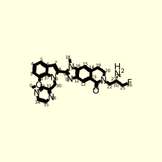 COc1cccc2cc(-c3nc4cc5c(cc4n3C)CCN(C[C@H](N)CF)C5=O)n(Cc3cnccn3)c12